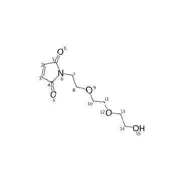 O=C1C=CC(=O)N1CCOCCOCCO